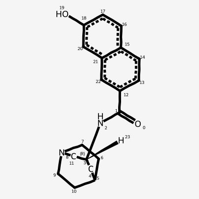 O=C(N[C@@H]1CC2CCN(CC2)C1)c1ccc2ccc(O)cc2c1